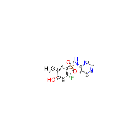 Cc1cc(S(=O)(=O)Nc2ccncn2)c(F)cc1O